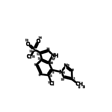 Cc1cnn(-c2c(Cl)ccc3c(S(=O)(=O)Cl)c[nH]c23)c1